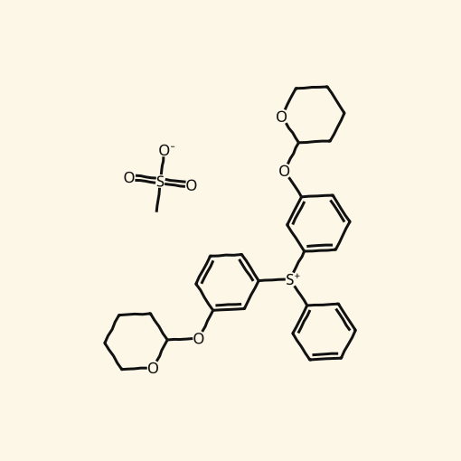 CS(=O)(=O)[O-].c1ccc([S+](c2cccc(OC3CCCCO3)c2)c2cccc(OC3CCCCO3)c2)cc1